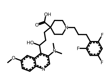 COc1ccc2ncc(N(C)C)c(C(O)CCC3(C(=O)O)CCN(CCCc4c(F)cc(F)cc4F)CC3)c2c1